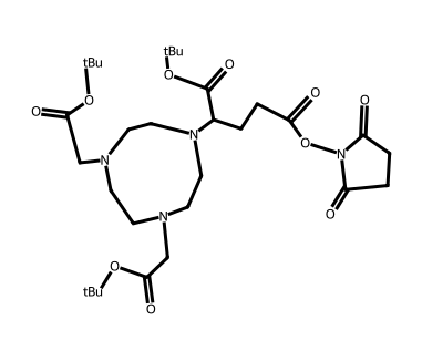 CC(C)(C)OC(=O)CN1CCN(CC(=O)OC(C)(C)C)CCN(C(CCC(=O)ON2C(=O)CCC2=O)C(=O)OC(C)(C)C)CC1